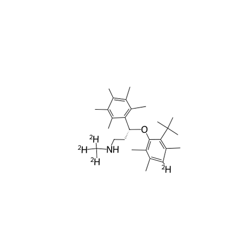 [2H]c1c(C)c(C)c(O[C@H](CCNC([2H])([2H])[2H])c2c(C)c(C)c(C)c(C)c2C)c(C(C)(C)C)c1C